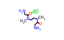 CN(CCN(C)C(=O)CN)C(=O)CN.Cl.Cl